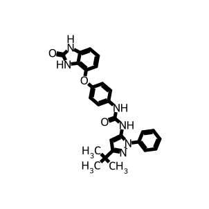 CC(C)(C)c1cc(NC(=O)Nc2ccc(Oc3cccc4[nH]c(=O)[nH]c34)cc2)n(-c2ccccc2)n1